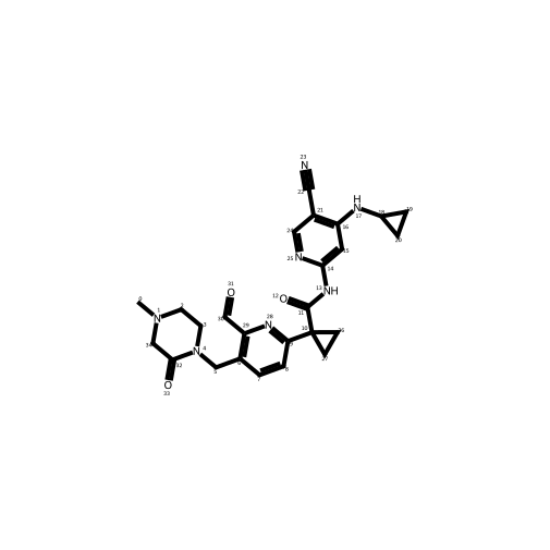 CN1CCN(Cc2ccc(C3(C(=O)Nc4cc(NC5CC5)c(C#N)cn4)CC3)nc2C=O)C(=O)C1